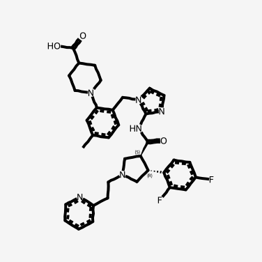 Cc1ccc(Cn2ccnc2NC(=O)[C@@H]2CN(CCc3ccccn3)C[C@H]2c2ccc(F)cc2F)c(N2CCC(C(=O)O)CC2)c1